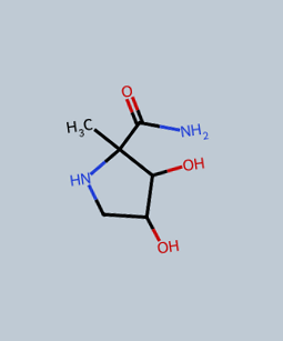 CC1(C(N)=O)NCC(O)C1O